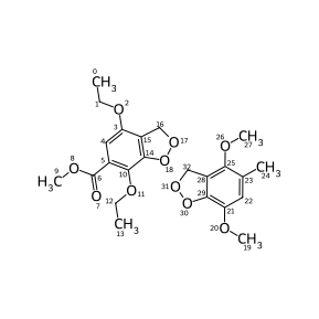 CCOc1cc(C(=O)OC)c(OCC)c2c1COO2.COc1cc(C)c(OC)c2c1OOC2